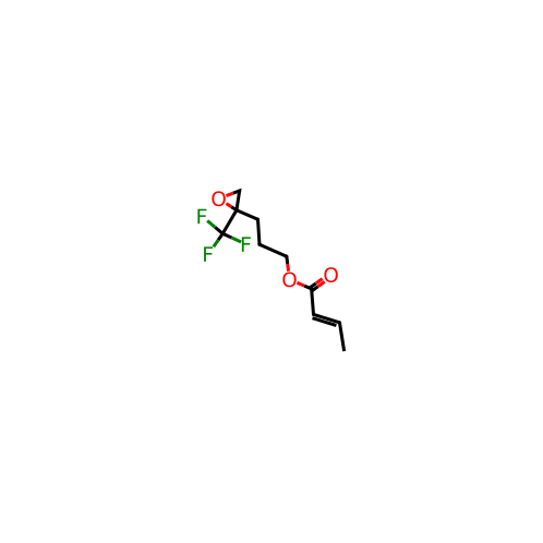 CC=CC(=O)OCCCC1(C(F)(F)F)CO1